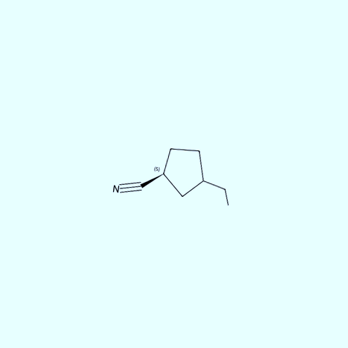 CCC1CC[C@H](C#N)C1